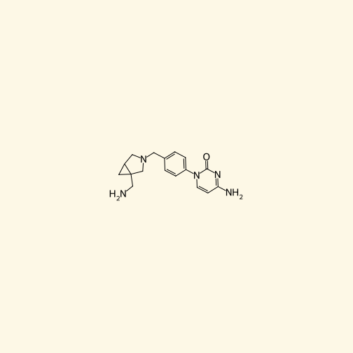 NCC12CC1CN(Cc1ccc(-n3ccc(N)nc3=O)cc1)C2